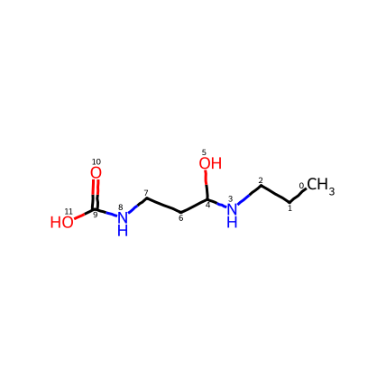 CCCNC(O)CCNC(=O)O